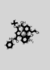 CC(C)(C)OC(=O)C1CC(C(=O)Nc2ccccc2)C(c2ccccc2F)N1c1c(C(=O)O)ccc(CC=O)c1NC(N)=O